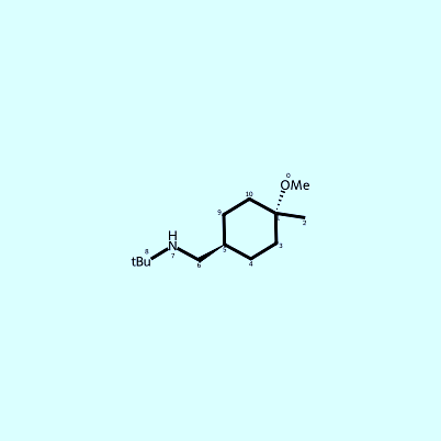 CO[C@]1(C)CC[C@@H](CNC(C)(C)C)CC1